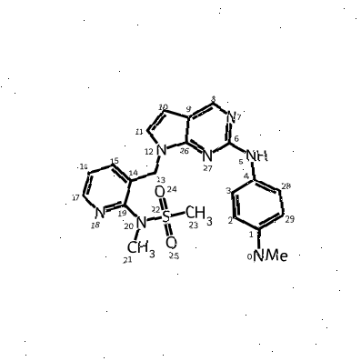 CNc1ccc(Nc2ncc3ccn(Cc4cccnc4N(C)S(C)(=O)=O)c3n2)cc1